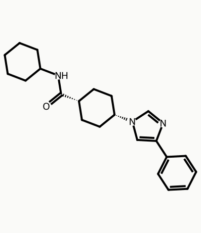 O=C(NC1CCCCC1)[C@H]1CC[C@@H](n2cnc(-c3ccccc3)c2)CC1